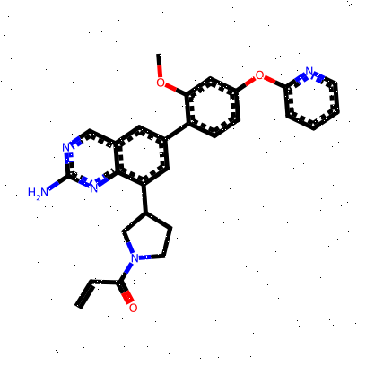 C=CC(=O)N1CCC(c2cc(-c3ccc(Oc4ccccn4)cc3OC)cc3cnc(N)nc23)C1